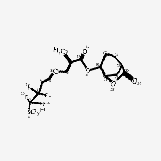 C=C(COCCC(F)(F)C(F)(F)S(=O)(=O)O)C(=O)OC1CCC2CC1OC2=O